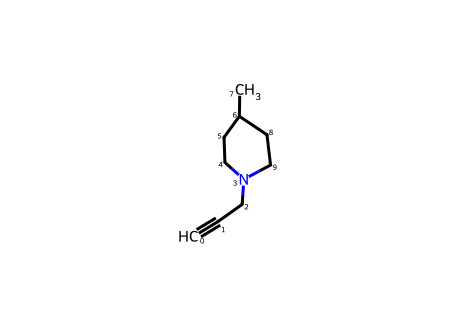 C#CCN1CCC(C)CC1